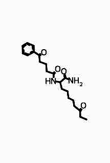 CCC(=O)CCCCCC(NC(=O)CCCC(=O)c1ccccc1)C(N)=O